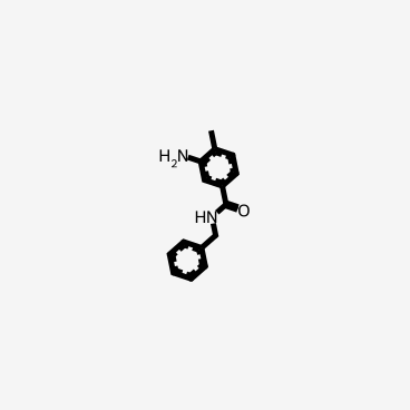 Cc1ccc(C(=O)NCc2ccccc2)cc1N